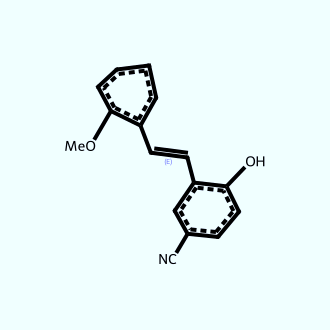 COc1ccccc1/C=C/c1cc(C#N)ccc1O